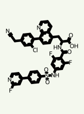 N#CCc1ccc(-c2ccc(CC(NC(=O)c3c(F)cc(NS(=O)(=O)c4ccc(-c5ccnc(F)c5)cc4)cc3F)C(=O)O)c3cccnc23)c(Cl)c1